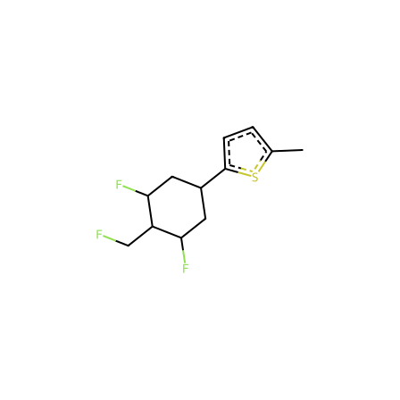 Cc1ccc(C2CC(F)C(CF)C(F)C2)s1